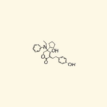 CCN(c1ccccc1)C1(C2CCCC2)COC(=O)C(CCc2ccc(O)cc2)=C1O